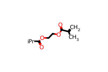 C=C(C)C(=O)OCCOC(=O)C(C)C